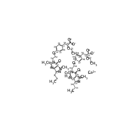 CCCc1nn(C)c2c(=O)n(CCOc3ccc(CC(OCC)C(=O)[O-])cc3)c(C)nc12.CCCc1nn(C)c2c(=O)n(CCOc3ccc(CC(OCC)C(=O)[O-])cc3)c(C)nc12.[Ca+2]